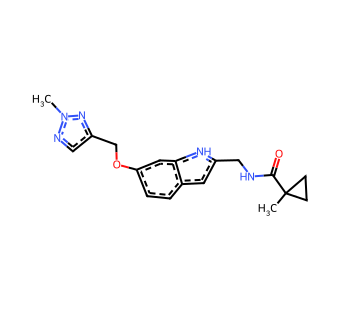 Cn1ncc(COc2ccc3cc(CNC(=O)C4(C)CC4)[nH]c3c2)n1